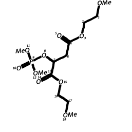 COCCOC(=O)CC(OP(=O)(OC)OC)C(=O)OCCOC